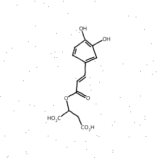 O=C(O)CC(OC(=O)/C=C/c1ccc(O)c(O)c1)C(=O)O